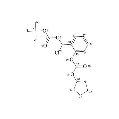 CC(C)(C)OC(=O)OC(Cl)c1ccccc1OC(=O)OC1CCCC1